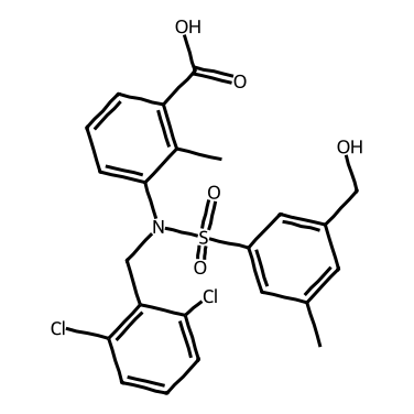 Cc1cc(CO)cc(S(=O)(=O)N(Cc2c(Cl)cccc2Cl)c2cccc(C(=O)O)c2C)c1